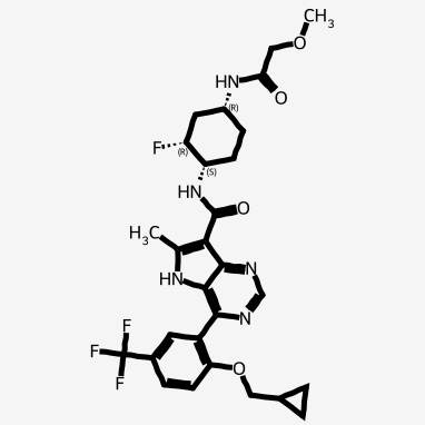 COCC(=O)N[C@@H]1CC[C@H](NC(=O)c2c(C)[nH]c3c(-c4cc(C(F)(F)F)ccc4OCC4CC4)ncnc23)[C@H](F)C1